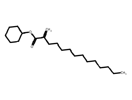 C=C(CCCCCCCCCCCC)C(=O)OC1CCCCC1